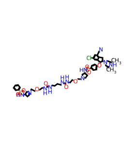 C[C@@H]1CN([C@H]2Cc3c(C#N)cc(Cl)cc3[C@@H]2Oc2ccc(S(=O)(=O)N[C@@H]3CCN(CCOCCNC(=O)NCCCCNC(=O)NCCOCCN4CC[C@@H](NS(=O)(=O)c5ccccc5)C4)C3)cc2)C[C@H](C)N1